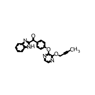 CC#CCOc1nccnc1Oc1ccc(C(=O)c2nc3ccccc3[nH]2)cc1